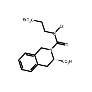 CCOC(=O)CCN(CC)C(=O)N1Cc2ccccc2C[C@H]1C(=O)O